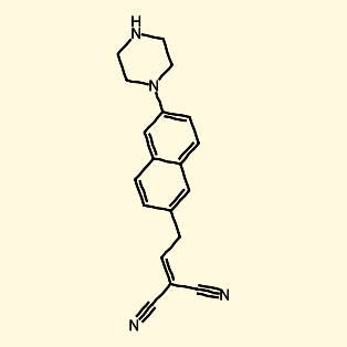 N#CC(C#N)=CCc1ccc2cc(N3CCNCC3)ccc2c1